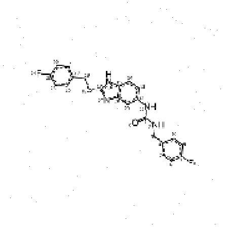 O=C(NCc1ccc(F)cc1)Nc1ccc2[nH]c(SCc3ccc(F)cc3)nc2c1